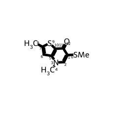 CSc1cn(C)c2cc(C)sc2c1=O